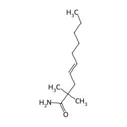 CCCCCC=CCC(C)(C)C(N)=O